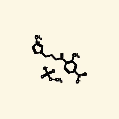 COS(=O)(=O)[O-].Cc1cc([N+](=O)[O-])ccc1NCCCn1cc[n+](C)c1